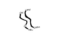 CCCCOCCO.COCCCO